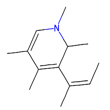 C/C=C(/C)C1=C(C)C(C)=CN(C)C1C